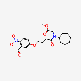 COC(=O)CN(C(=O)CCCOc1ccc([N+](=O)[O-])c(C=O)c1)C1CCCCCC1